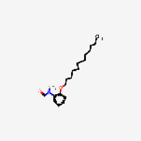 CCCCCCCCCCCCOc1ccccc1N(C)[C]=O